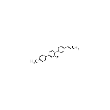 CC=Cc1ccc(-c2ccc(-c3ccc(C)cc3)cc2F)cc1